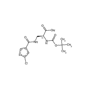 CC(C)(C)OC(=O)N[C@@H](CNC(=O)c1csc(Cl)c1)C(=O)O